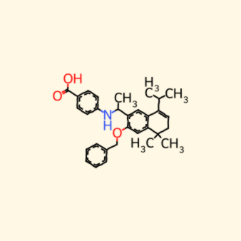 CC(C)C1=CCC(C)(C)c2cc(OCc3ccccc3)c(C(C)Nc3ccc(C(=O)O)cc3)cc21